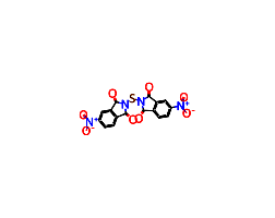 O=C1c2ccc([N+](=O)[O-])cc2C(=O)N1SN1C(=O)c2ccc([N+](=O)[O-])cc2C1=O